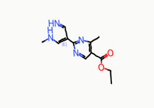 CCOC(=O)c1cnc(/C(C=N)=C/NC)nc1C